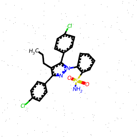 CCCc1c(-c2ccc(Cl)cc2)nn(-c2ccccc2S(N)(=O)=O)c1-c1ccc(Cl)cc1